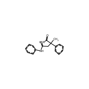 CC(CC(=O)Nc1ccccc1)(C(N)=O)c1ccccc1